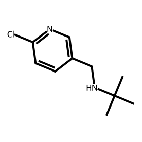 CC(C)(C)NCc1ccc(Cl)nc1